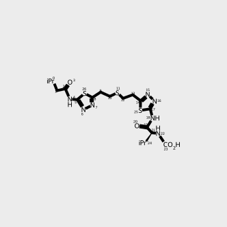 CC(C)CC(=O)Nc1nnc(CCSCCc2nnc(NC(=O)[C@@H](NC(=O)O)C(C)C)s2)s1